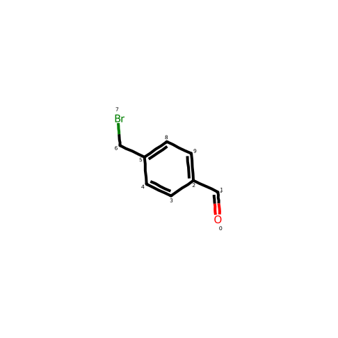 O=[C]c1ccc(CBr)cc1